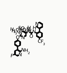 CS(=O)(=O)O.CS(=O)(=O)O.Nc1ncc(F)cc1-c1ccc(Oc2ncc(NC(=O)Nc3cc(C(F)(F)F)ccc3-c3cccnc3)cn2)cc1